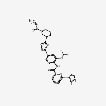 C=CC(=O)N1CCCC(c2nc(-c3cnc(NC(=O)c4cccc(-c5ccn[nH]5)n4)c(OC(F)F)c3)no2)C1